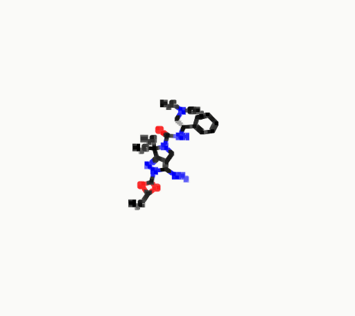 CC1OC(n2nc3c(c2N)CN(C(=O)N[C@H](CN(C)C)c2ccccc2)C3(C)C)O1